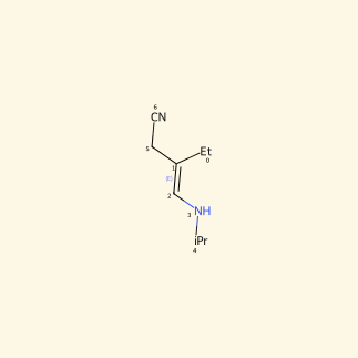 CC/C(=C\NC(C)C)CC#N